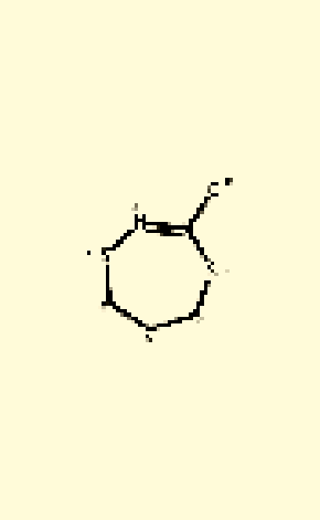 ClC1=NSCCCS1